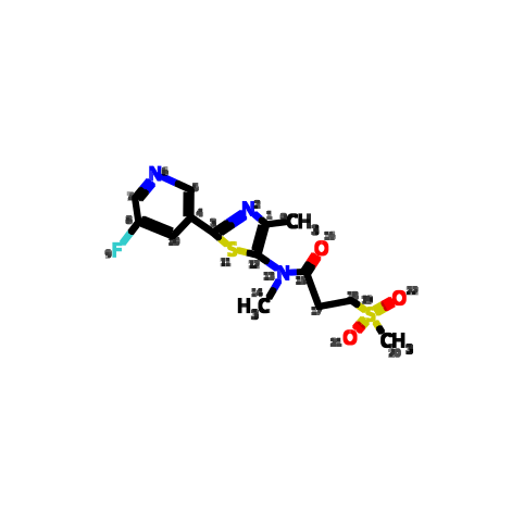 Cc1nc(-c2cncc(F)c2)sc1N(C)C(=O)CCS(C)(=O)=O